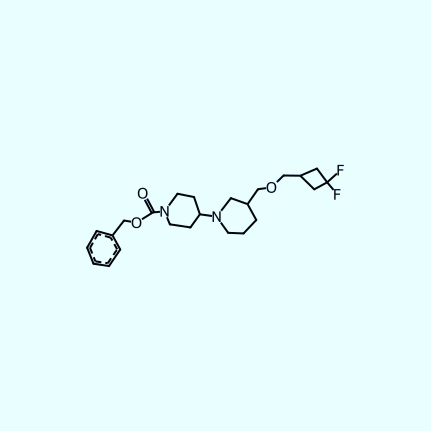 O=C(OCc1ccccc1)N1CCC(N2CCCC(COCC3CC(F)(F)C3)C2)CC1